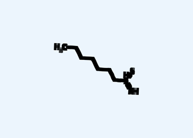 CCCCCCC[SH](=N)=S